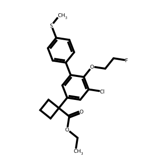 CCOC(=O)C1(c2cc(Cl)c(OCCF)c(-c3ccc(SC)cc3)c2)CCC1